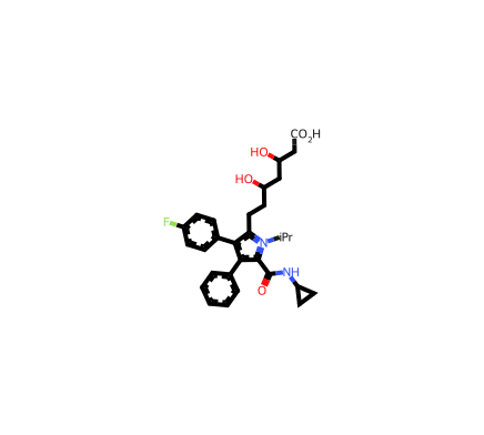 CC(C)n1c(CCC(O)CC(O)CC(=O)O)c(-c2ccc(F)cc2)c(-c2ccccc2)c1C(=O)NC1CC1